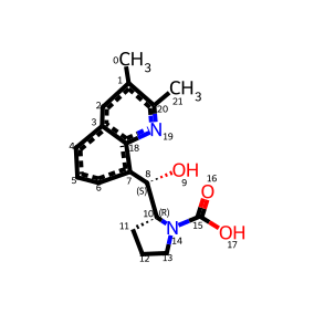 Cc1cc2cccc([C@H](O)[C@H]3CCCN3C(=O)O)c2nc1C